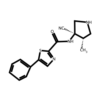 C[C@H]1CNC[C@]1(C#N)NC(=O)c1ncc(-c2ccccc2)s1